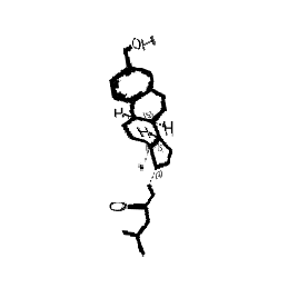 CC(C)CC(=O)CC[C@H]1CC[C@H]2[C@@H]3CCc4cc(CO)ccc4[C@H]3CC[C@]12C